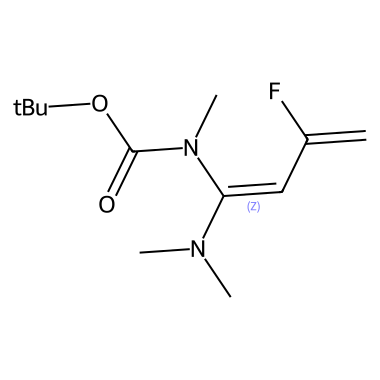 C=C(F)/C=C(/N(C)C)N(C)C(=O)OC(C)(C)C